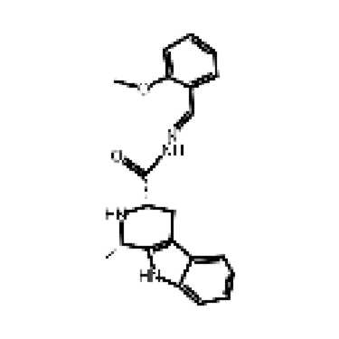 COc1ccccc1/C=N/NC(=O)[C@@H]1Cc2c([nH]c3ccccc23)[C@H](C)N1